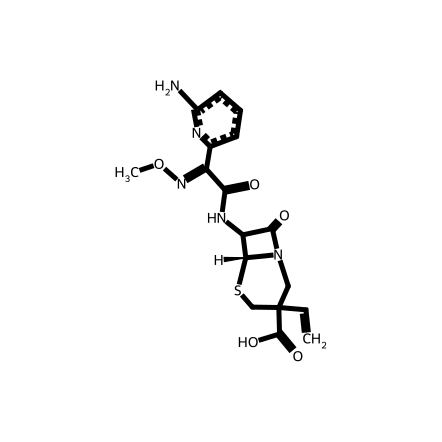 C=CC1(C(=O)O)CS[C@@H]2C(NC(=O)C(=NOC)c3cccc(N)n3)C(=O)N2C1